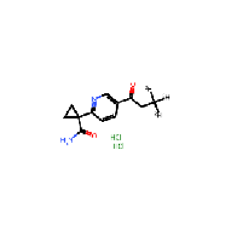 Cl.Cl.[2H]C([2H])([2H])CC(=O)c1ccc(C2(C(N)=O)CC2)nc1